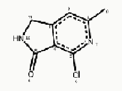 Cc1cc2c(c(Cl)n1)C(=O)NC2